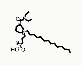 CCCCCCCCCCCCCC[N@@+]1(CCCS(=O)(=O)O)CCC[C@H](C(=O)N(CC)CC)C1